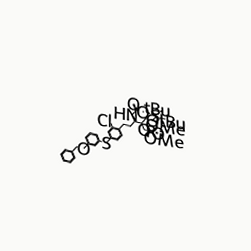 COP(=O)(OC)OC(CO[Si](C)(C)C(C)(C)C)C(CCc1ccc(Sc2cccc(OCc3ccccc3)c2)cc1Cl)NC(=O)OC(C)(C)C